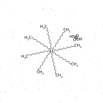 CCCCCCCCCCC[CH2][Li]([CH2]CCCCCCCCCCC)([CH2]CCCCCCCCCCC)([CH2]CCCCCCCCCCC)([CH2]CCCCCCCCCCC)([CH2]CCCCCCCCCCC)([CH2]CCCCCCCCCCC)[CH2]CCCCCCCCCCC.O=S(=O)(O)O